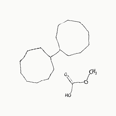 C1CCCCC(C2CCCCCCCC2)CCC1.COC(=O)O